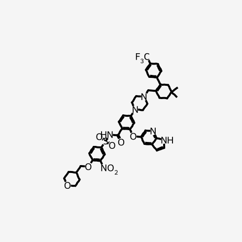 CC1(C)CCC(CN2CCN(c3ccc(C(=O)NS(=O)(=O)c4ccc(OCC5CCOCC5)c([N+](=O)[O-])c4)c(Oc4cnc5[nH]ccc5c4)c3)CC2)=C(c2ccc(C(F)(F)F)cc2)C1